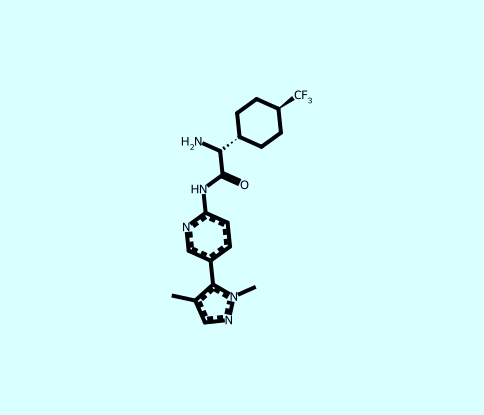 Cc1cnn(C)c1-c1ccc(NC(=O)C(N)[C@H]2CC[C@H](C(F)(F)F)CC2)nc1